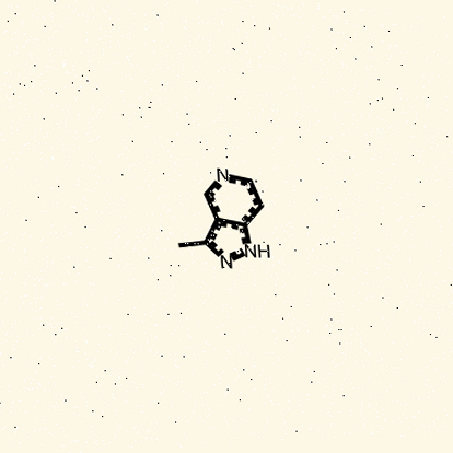 Cc1n[nH]c2c[c]ncc12